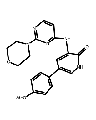 COc1ccc(-c2c[nH]c(=O)c(Nc3ccnc(N4CCOCC4)n3)c2)cc1